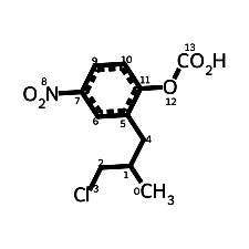 CC(CCl)Cc1cc([N+](=O)[O-])ccc1OC(=O)O